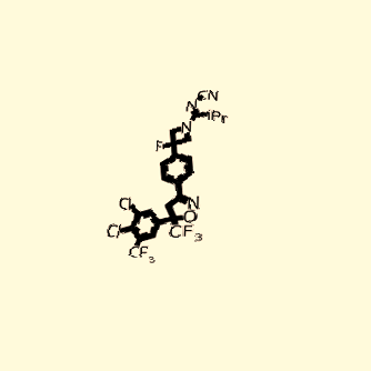 CC(C)C(=NC#N)N1CC(F)(c2ccc(C3=NOC(c4cc(Cl)c(Cl)c(C(F)(F)F)c4)(C(F)(F)F)C3)cc2)C1